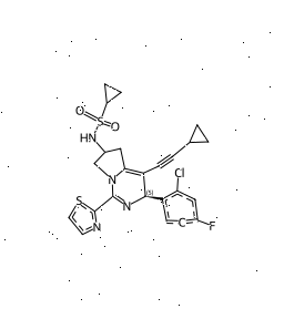 O=S(=O)(NC1CC2=C(C#CC3CC3)[C@@H](c3ccc(F)cc3Cl)N=C(c3nccs3)N2C1)C1CC1